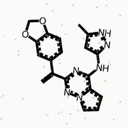 C=C(c1ccc2c(c1)OCO2)c1nc(Nc2cc(C)[nH]n2)c2cccn2n1